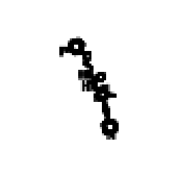 Cc1nc(NC(=O)NCCOc2cccc(F)c2)sc1C#Cc1ccncc1